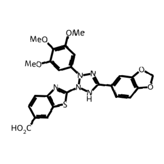 COc1cc(N2N=C(c3ccc4c(c3)OCO4)NN2c2nc3ccc(C(=O)O)cc3s2)cc(OC)c1OC